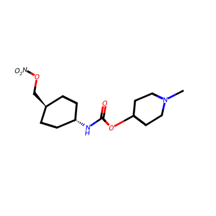 CN1CCC(OC(=O)N[C@H]2CC[C@H](CO[N+](=O)[O-])CC2)CC1